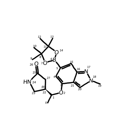 CC(Oc1cc(B2OC(C)(C)C(C)(C)O2)cc2nn(C)cc12)[C@H]1CNC(=O)C1